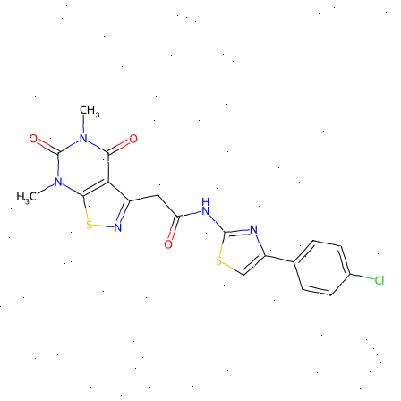 Cn1c(=O)c2c(CC(=O)Nc3nc(-c4ccc(Cl)cc4)cs3)nsc2n(C)c1=O